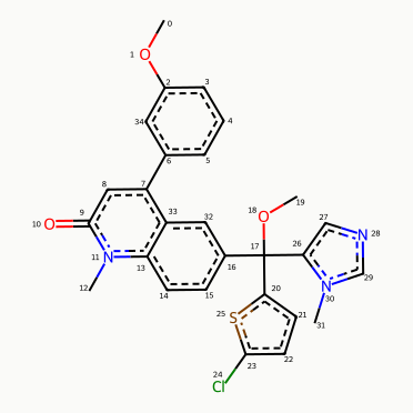 COc1cccc(-c2cc(=O)n(C)c3ccc(C(OC)(c4ccc(Cl)s4)c4cncn4C)cc23)c1